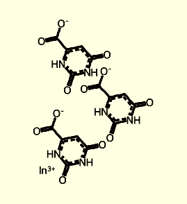 O=C([O-])c1cc(=O)[nH]c(=O)[nH]1.O=C([O-])c1cc(=O)[nH]c(=O)[nH]1.O=C([O-])c1cc(=O)[nH]c(=O)[nH]1.[In+3]